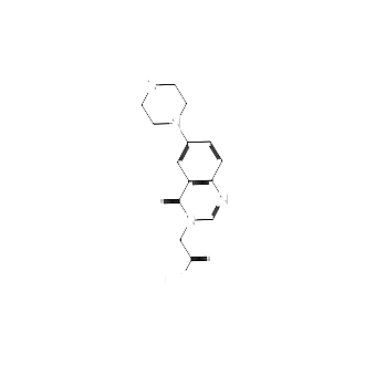 O=C(O)Cn1cnc2ccc(N3CCNCC3)cc2c1=O